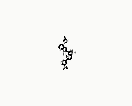 Cc1cn(-c2ccnc3[nH]c(-c4n[nH]c5ccc(-c6cncc(N(C)C)c6)nc45)cc23)cn1